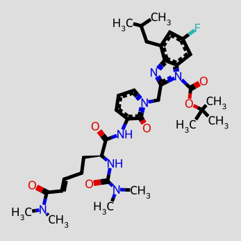 CC(C)Cc1cc(F)cc2c1nc(Cn1cccc(NC(=O)[C@H](CC/C=C/C(=O)N(C)C)NC(=O)N(C)C)c1=O)n2C(=O)OC(C)(C)C